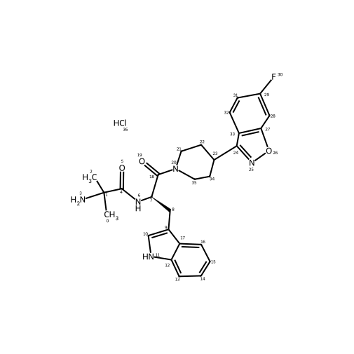 CC(C)(N)C(=O)N[C@H](Cc1c[nH]c2ccccc12)C(=O)N1CCC(c2noc3cc(F)ccc23)CC1.Cl